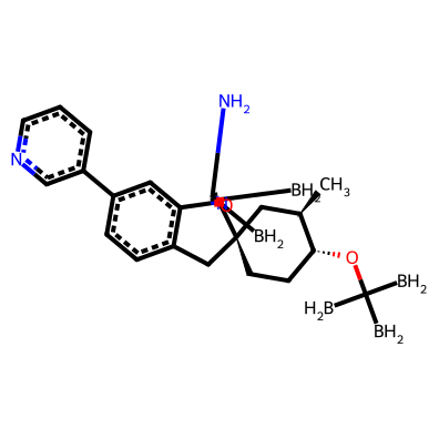 BC(B)(B)O[C@@H]1CC[C@]2(Cc3ccc(-c4cccnc4)cc3[C@]23N=C(N)OC3(B)B)C[C@H]1C